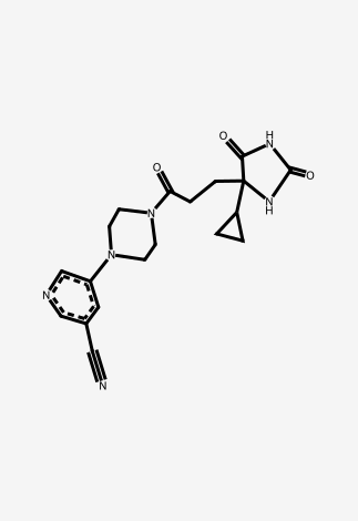 N#Cc1cncc(N2CCN(C(=O)CCC3(C4CC4)NC(=O)NC3=O)CC2)c1